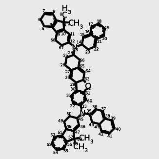 CC1(C)C2=C(CCC=C2)C2=C1C=C(N(C1C=c3ccccc3=CC1)C1CCC3=CC4c5ccc(N(C6=CC=C7C=CC=CC7C6)C6C=C7C(CC6)c6ccccc6C7(C)C)cc5OC4C=C3C1)CC2